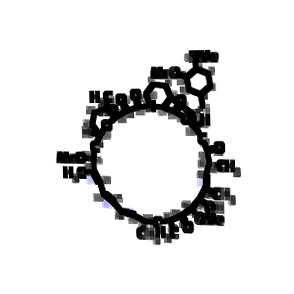 CNC1CCC(C[C@H]2C3CCCN4C(=O)C(=O)C5(O)O[C@@H](CCC5C)C[C@H](OC)/C(C)=C/C=C/C=C/[C@@H](C)CC(C)C(=O)[C@H](OC)C(O)/C(C)=C/[C@@H](C)C(=O)C[C@@H]2OC(=O)C34)CC1OC